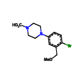 COCc1cc(N2CCN(C(=O)O)CC2)ccc1Br